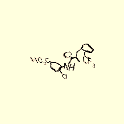 CC(Cc1ccccc1C(F)(F)F)C(=O)Nc1cc(C(=O)O)ccc1Cl